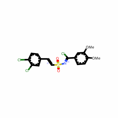 COc1ccc(/C(Cl)=N/S(=O)(=O)/C=C/c2ccc(Cl)c(Cl)c2)cc1OC